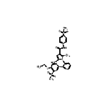 CCOc1ccc(-c2ccccc2-n2c(C)cc(C(=O)Nc3ccc(S(C)(=O)=O)cc3)c2C)cc1S(C)(=O)=O